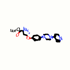 COC(=O)C(N)CCOc1ccc(N2CCN(c3ccncc3)CC2)cc1